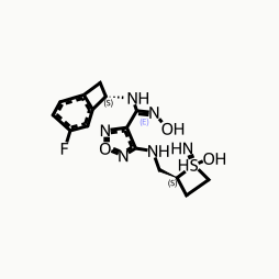 N=[SH]1(O)CC[C@H]1CNc1nonc1/C(=N\O)N[C@H]1Cc2ccc(F)cc21